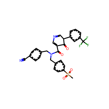 CS(=O)(=O)c1ccc(CN(Cc2ccc(C#N)cc2)C(=O)C2=CN=CC(c3cccc(C(F)(F)F)c3)C2=O)cc1